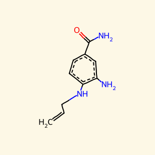 C=CCNc1ccc(C(N)=O)cc1N